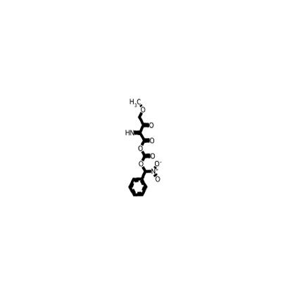 COCC(=O)C(=N)C(=O)OC(=O)OC(c1ccccc1)[N+](=O)[O-]